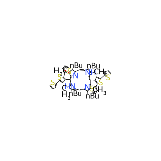 CCCCC1=C(C)c2nc1cc1[nH]c(c(C)c1CCCC)c(-c1cc(-c3cccs3)sc1-c1cccs1)c1nc(cc3[nH]c(c(C)c3CCCC)c2-c2cc(-c3cccs3)sc2-c2cccs2)C(CCCC)=C1C